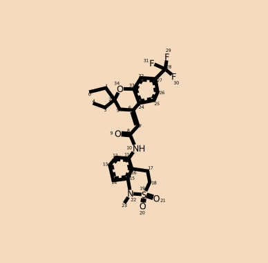 CCC1(CC)CC(=CC(=O)Nc2cccc3c2CCS(=O)(=O)N3C)c2ccc(C(F)(F)F)cc2O1